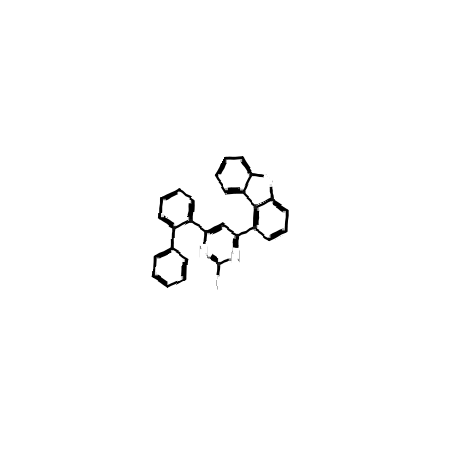 Ic1nc(-c2ccccc2-c2ccccc2)cc(-c2cccc3sc4ccccc4c23)n1